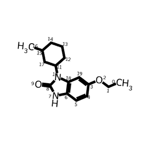 CCOc1ccc2[nH]c(=O)n(C3CCCC(C)C3)c2c1